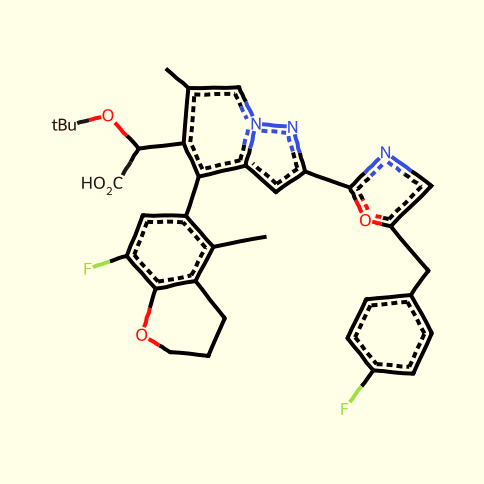 Cc1cn2nc(-c3ncc(Cc4ccc(F)cc4)o3)cc2c(-c2cc(F)c3c(c2C)CCCO3)c1C(OC(C)(C)C)C(=O)O